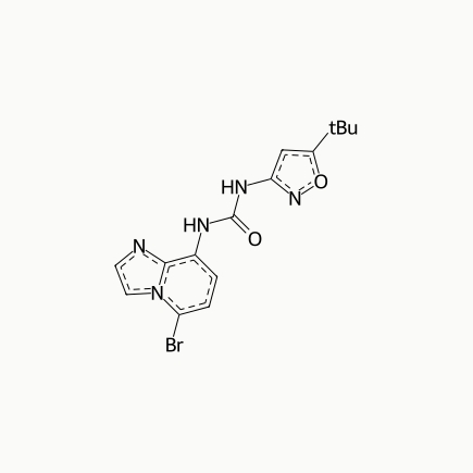 CC(C)(C)c1cc(NC(=O)Nc2ccc(Br)n3ccnc23)no1